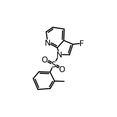 Cc1ccccc1S(=O)(=O)n1cc(F)c2cccnc21